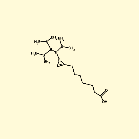 BB(B)B(B(B)B)B(B(B)B)B1C=C1SCCCCCC(=O)O